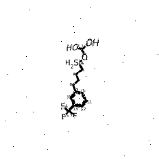 OC(O)O[SiH2]CCCCc1cccc(C(F)(F)F)c1